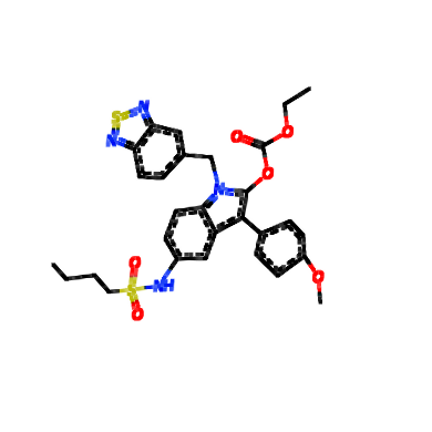 CCCCS(=O)(=O)Nc1ccc2c(c1)c(-c1ccc(OC)cc1)c(OC(=O)OCC)n2Cc1ccc2nsnc2c1